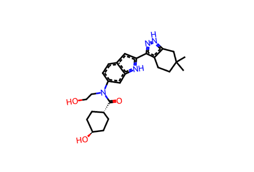 CC1(C)CCc2c(-c3cc4ccc(N(CCO)C(=O)[C@H]5CC[C@H](O)CC5)cc4[nH]3)n[nH]c2C1